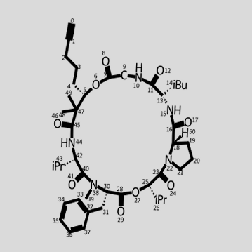 C#CCCC[C@@H]1OC(=O)CNC(=O)[C@H]([C@@H](C)CC)NC(=O)[C@@H]2CCCN2C(=O)[C@H](C(C)C)OC(=O)[C@H](Cc2ccccc2)N(C)C(=O)[C@H](C(C)C)NC(=O)C1(C)C